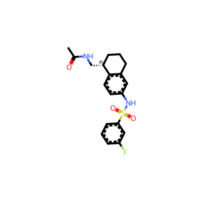 CC(=O)NC[C@@H]1CCCc2cc(NS(=O)(=O)c3cccc(F)c3)ccc21